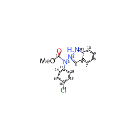 COC(=O)N(N=Cc1ccccc1N)c1ccc(Cl)cc1